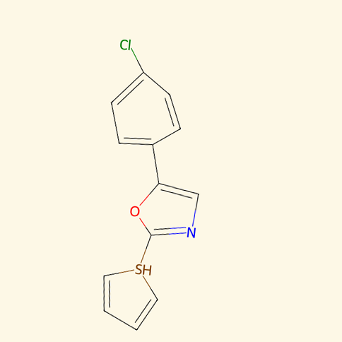 Clc1ccc(-c2cnc([SH]3C=CC=C3)o2)cc1